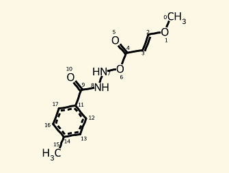 COC=CC(=O)ONNC(=O)c1ccc(C)cc1